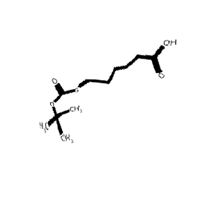 CC(C)(C)OC(=O)SCCCCCC(=O)O